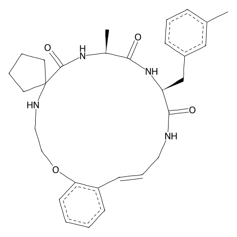 Cc1cccc(C[C@@H]2NC(=O)[C@H](C)NC(=O)C3(CCCC3)NCCOc3ccccc3/C=C/CNC2=O)c1